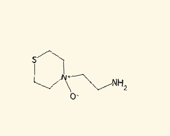 NCC[N+]1([O-])CCSCC1